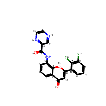 O=C(Nc1cccc2c(=O)cc(-c3cccc(F)c3F)oc12)c1cnccn1